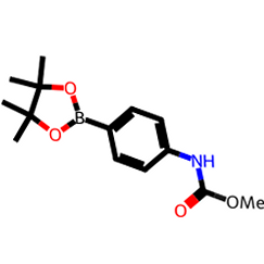 COC(=O)Nc1ccc(B2OC(C)(C)C(C)(C)O2)cc1